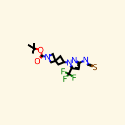 CC(C)(C)OC(=O)N1CC2(CC(n3nc(N=C=S)cc3C(F)(F)F)C2)C1